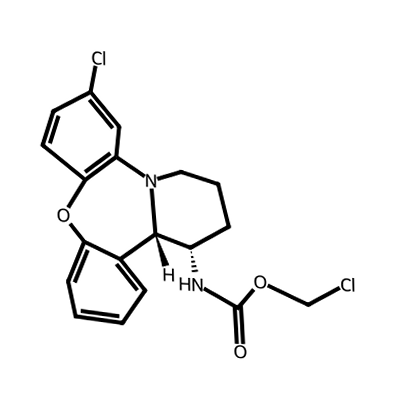 O=C(N[C@H]1CCCN2c3cc(Cl)ccc3Oc3ccccc3[C@@H]12)OCCl